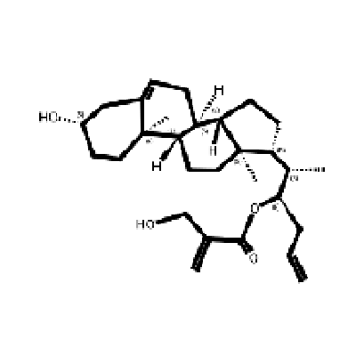 C=CC[C@@H](OC(=O)C(=C)CO)[C@@H](C)[C@H]1CC[C@H]2[C@@H]3CC=C4C[C@@H](O)CC[C@]4(C)[C@H]3CC[C@]12C